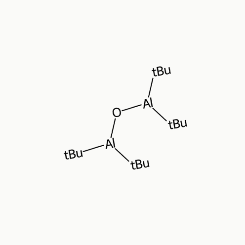 C[C](C)(C)[Al]([O][Al]([C](C)(C)C)[C](C)(C)C)[C](C)(C)C